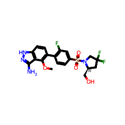 COc1c(-c2ccc(S(=O)(=O)N3CC(F)(F)C[C@H]3CO)cc2F)ccc2[nH]nc(N)c12